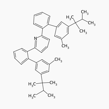 Cc1cc(-c2ccccc2-c2cccc(-c3ccccc3-c3cc(C)cc(C(C)(C)C(C)C)c3)n2)cc(C(C)(C)C(C)C)c1